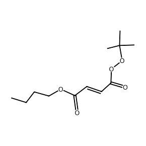 CCCCOC(=O)/C=C/C(=O)OOC(C)(C)C